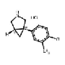 Cl.FC(F)(F)c1cc([C@]23CNC[C@H]2C3)ccc1Cl